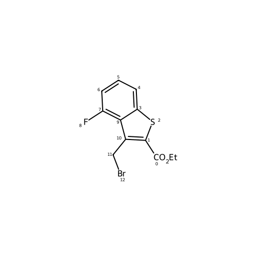 CCOC(=O)c1sc2cccc(F)c2c1CBr